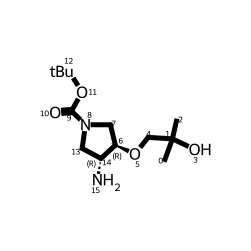 CC(C)(O)CO[C@@H]1CN(C(=O)OC(C)(C)C)C[C@H]1N